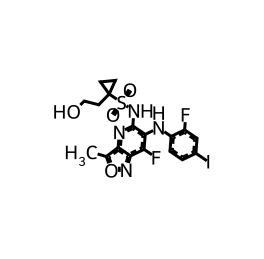 Cc1onc2c(F)c(Nc3ccc(I)cc3F)c(NS(=O)(=O)C3(CCO)CC3)nc12